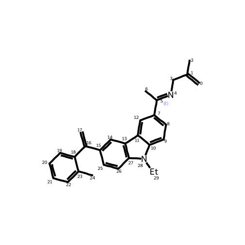 C=C(C)C/N=C(\C)c1ccc2c(c1)c1cc(C(=C)c3ccccc3C)ccc1n2CC